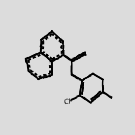 C=C(CC1=C(Cl)C=C(C)CC1)c1cccc2ccccc12